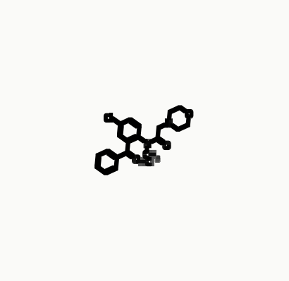 CN(C(=O)CN1CCOCC1)c1ccc(Cl)cc1C(=O)c1ccccc1.Cl